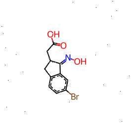 O=C(O)CC1Cc2ccc(Br)cc2C1=NO